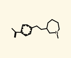 C=C(C)c1ccc(CCC2CCCCN(C)C2)cc1